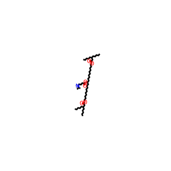 CCCCCC(CCCCC)CC(=O)OCCCCCCCCCCC(CCCCCCCCCCOC(=O)CC(CCCCC)CCCCC)OC(=O)CCCN(C)C(C)C